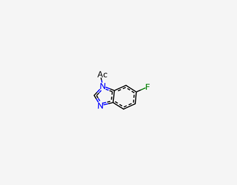 CC(=O)n1cnc2ccc(F)cc21